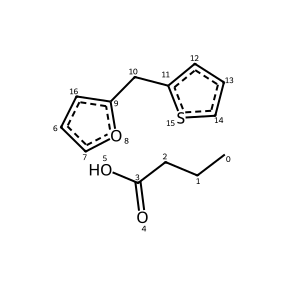 CCCC(=O)O.c1coc(Cc2cccs2)c1